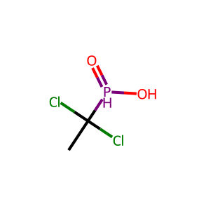 CC(Cl)(Cl)[PH](=O)O